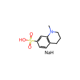 CN1CCCc2ccc(S(=O)(=O)O)cc21.[NaH]